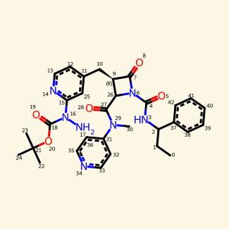 CCC(NC(=O)N1C(=O)[C@H](Cc2ccnc(N(N)C(=O)OC(C)(C)C)c2)C1C(=O)N(C)c1ccncc1)c1ccccc1